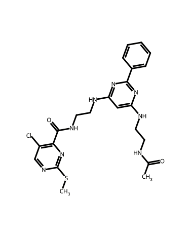 CSc1ncc(Cl)c(C(=O)NCCNc2cc(NCCNC(C)=O)nc(-c3ccccc3)n2)n1